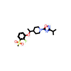 CC(C)c1noc(N2CCC(C(C)Oc3cc[c]c(S(C)(=O)=O)c3F)CC2)n1